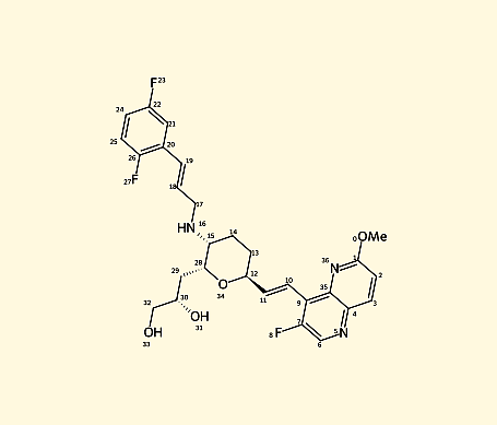 COc1ccc2ncc(F)c(/C=C/[C@@H]3CC[C@@H](NC/C=C/c4cc(F)ccc4F)[C@@H](C[C@H](O)CO)O3)c2n1